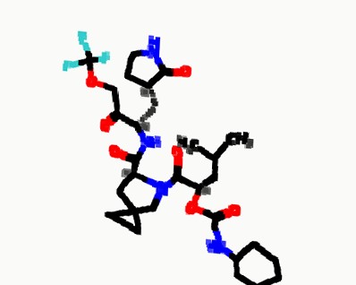 CC(C)C[C@@H](OC(=O)NC1CCCCC1)C(=O)N1CC2(CC2)C[C@H]1C(=O)N[C@@H](C[C@@H]1CCNC1=O)C(=O)COC(F)(F)F